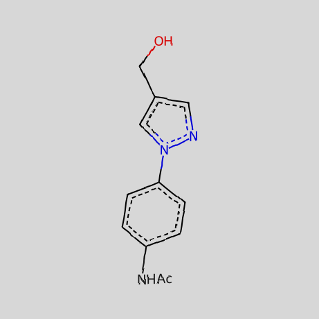 CC(=O)Nc1ccc(-n2cc(CO)cn2)cc1